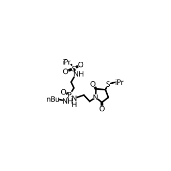 CCCCNP(=O)(CCNS(=O)(=O)C(C)C)NCCN1C(=O)CC(SC(C)C)C1=O